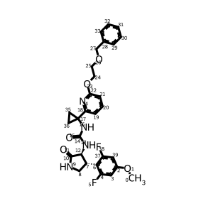 COc1cc(F)c([C@@H]2CNC(=O)[C@H]2NC(=O)NC2(c3cccc(OCCOCc4ccccc4)n3)CC2)c(F)c1